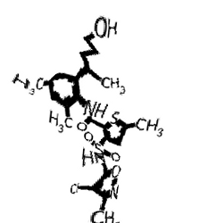 Cc1cc(C)c(NC(=O)c2sc(C)cc2S(=O)(=O)Nc2onc(C)c2Cl)c(C(C)CCCO)c1